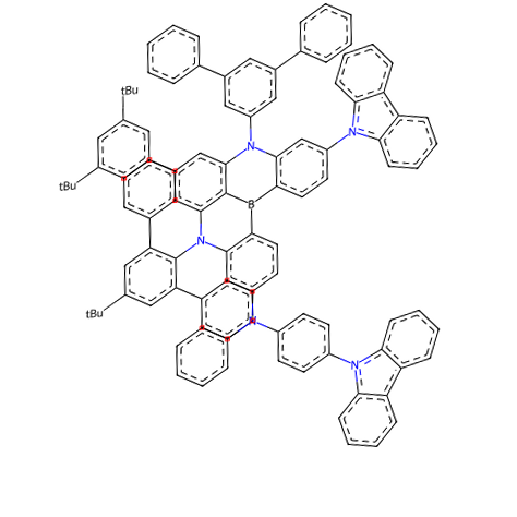 CC(C)(C)c1cc(-c2cc3c4c(c2)N(c2c(-c5ccccc5)cc(C(C)(C)C)cc2-c2ccccc2)c2cc(N(c5ccccc5)c5ccc(-n6c7ccccc7c7ccccc76)cc5)ccc2B4c2ccc(-n4c5ccccc5c5ccccc54)cc2N3c2cc(-c3ccccc3)cc(-c3ccccc3)c2)cc(C(C)(C)C)c1